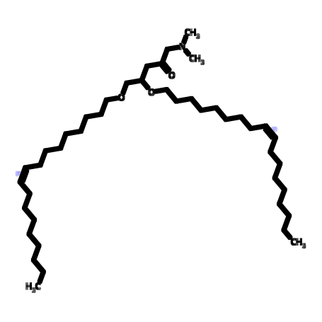 CCCCCCCC/C=C\CCCCCCCCOCC(CC(=O)CN(C)C)OCCCCCCCC/C=C\CCCCCCCC